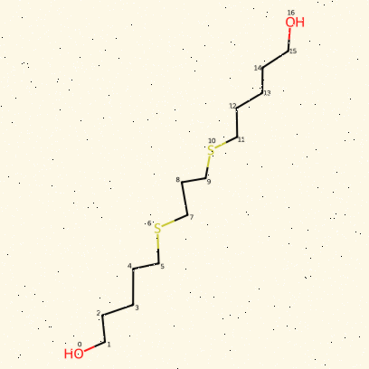 OCCCCCSCCCSCCCCCO